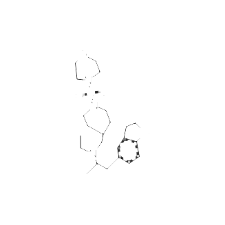 CCN(CC1CCN(S(=O)(=O)N2CCOCC2)CC1)C(C)Cc1ccc2c(c1)CCO2